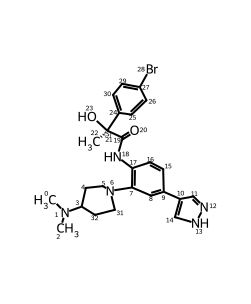 CN(C)C1CCN(c2cc(-c3cn[nH]c3)ccc2NC(=O)[C@@](C)(O)c2ccc(Br)cc2)CC1